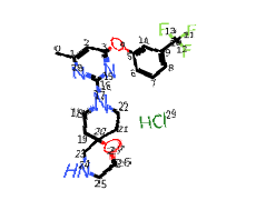 Cc1cc(Oc2cccc(C(F)(F)F)c2)nc(N2CCC3(CC2)CNCCO3)n1.Cl